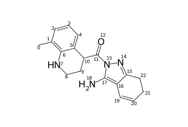 Cc1cccc2c1NCCC2C(=O)n1nc2c(c1N)C=CCC2